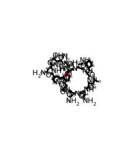 CC(C)[C@H](C)[C@@H]1NC(=O)[C@@H](Cc2ccccc2)NC(=O)[C@H](CCN)NC(=O)[C@@H](NC(=O)[C@@H](CN)NC(=O)[C@@H](NC(=O)[C@H](CCN)NC(=O)c2ccnc(-c3cccc(Cl)c3)c2)[C@@H](C)O)CCNC(=O)[C@H]([C@@H](C)O)NC(=O)[C@H](CCN)NC(=O)[C@H](CCN)NC1=O